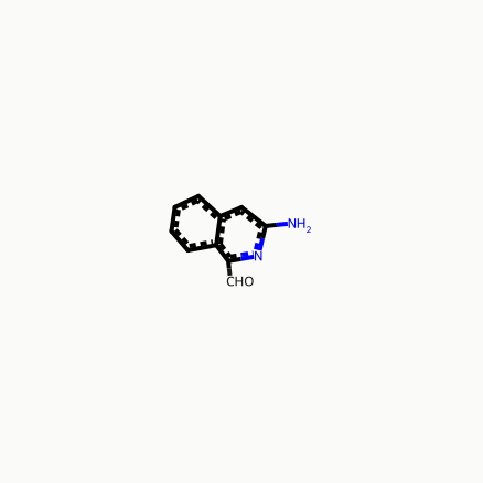 Nc1cc2ccccc2c(C=O)n1